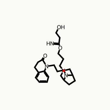 N=C(CCO)OCCCN1CC2CCC(C1)N2CCCN1C(=O)CCc2ccccc21